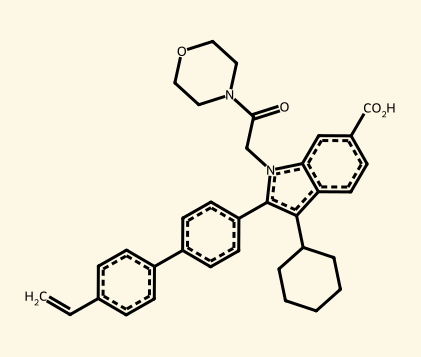 C=Cc1ccc(-c2ccc(-c3c(C4CCCCC4)c4ccc(C(=O)O)cc4n3CC(=O)N3CCOCC3)cc2)cc1